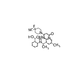 Cc1cc([C@@H](C)Nc2ccccc2C(O)O)c2nc(N3CCC(F)(C#N)CC3)cc(=O)n2c1